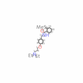 CCN(CC)CCCOc1ccc(CNC(=O)c2ccccc2SC)cc1